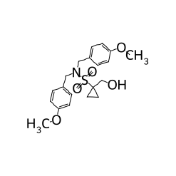 COc1ccc(CN(Cc2ccc(OC)cc2)S(=O)(=O)C2(CO)CC2)cc1